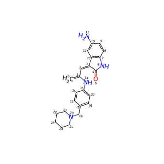 C=C(C=C1C(=O)Nc2ccc(N)cc21)Nc1ccc(CN2CCCCC2)cc1